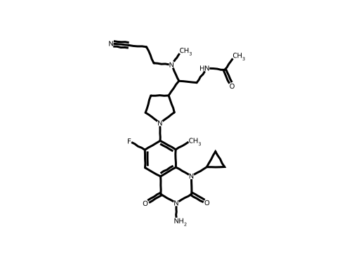 CC(=O)NCC(C1CCN(c2c(F)cc3c(=O)n(N)c(=O)n(C4CC4)c3c2C)C1)N(C)CCC#N